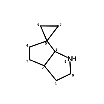 C1CC2CCC3(CC3)C2N1